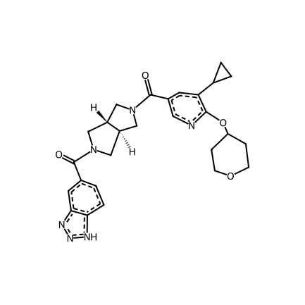 O=C(c1cnc(OC2CCOCC2)c(C2CC2)c1)N1C[C@H]2CN(C(=O)c3ccc4[nH]nnc4c3)C[C@@H]2C1